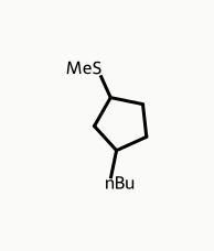 CCCCC1CCC(SC)C1